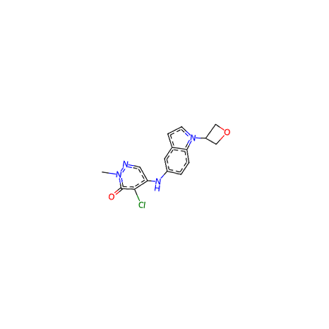 Cn1ncc(Nc2ccc3c(ccn3C3COC3)c2)c(Cl)c1=O